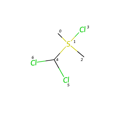 CS(C)(Cl)C(Cl)Cl